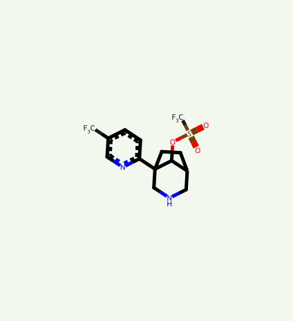 O=S(=O)(OC1C2CCC1(c1ccc(C(F)(F)F)cn1)CNC2)C(F)(F)F